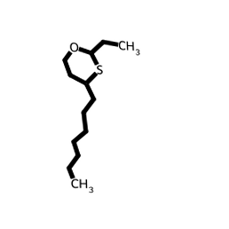 CCCCCCCC1CCOC(CC)S1